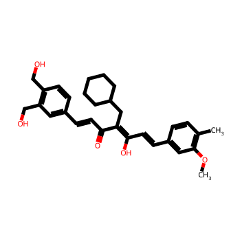 COc1cc(/C=C/C(O)=C(\CC2CCCCC2)C(=O)/C=C/c2ccc(CO)c(CO)c2)ccc1C